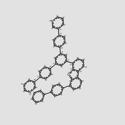 c1ccc(-c2ccc(-c3cccc4c3oc3c(-c5cc(-c6ccc(-c7cccnc7)cc6)cc(-c6ccc(-c7cccnc7)cc6)c5)cccc34)cc2)cc1